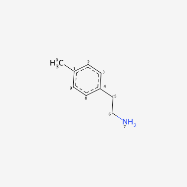 Cc1ccc([CH]CN)cc1